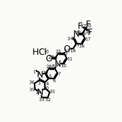 Cl.Cn1c2c(c3ccc(-n4ccc(OCc5ccc(C(F)(F)F)nc5)cc4=O)cc31)C1CCCN1CC2